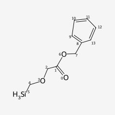 O=C(COC[SiH3])OCc1ccccc1